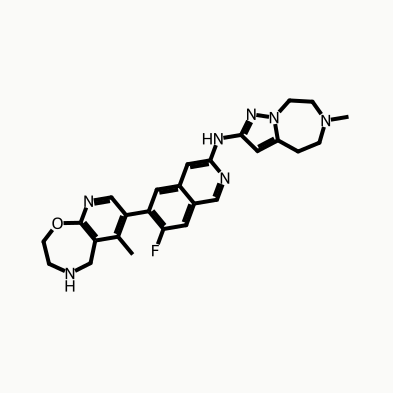 Cc1c(-c2cc3cc(Nc4cc5n(n4)CCN(C)CC5)ncc3cc2F)cnc2c1CNCCO2